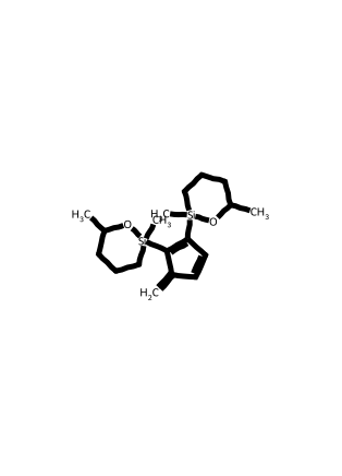 C=C1C=CC([Si]2(C)CCCC(C)O2)=C1[Si]1(C)CCCC(C)O1